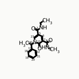 CCNC(=O)c1cc(C(=O)NC)c(=O)n([C@H](C)c2ccccc2)c1